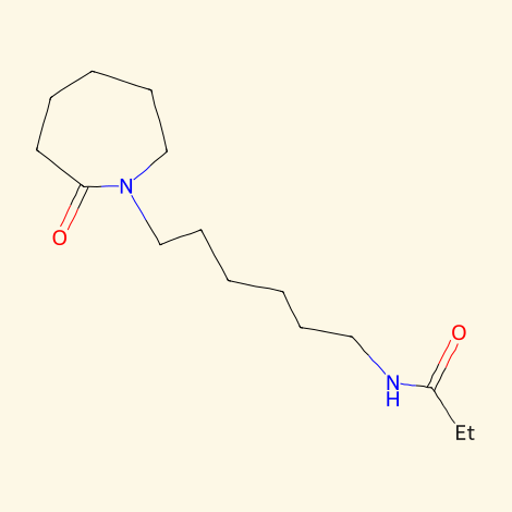 CCC(=O)NCCCCCCN1CCCCCC1=O